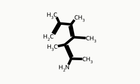 C=C(C)/C(C)=C(C)\C(C)=C(/C)N